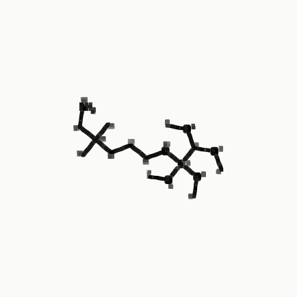 COC(OC)[Si](OC)(OC)OCCCC(C)(C)CN